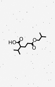 CC(C)COC(=O)CCC(C(=O)O)C(C)C